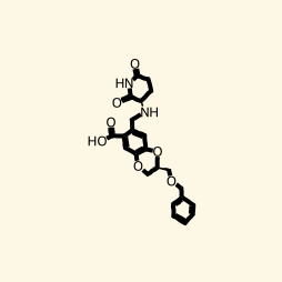 O=C1CC[C@H](NCc2cc3c(cc2C(=O)O)OC[C@H](COCc2ccccc2)O3)C(=O)N1